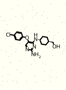 Nc1ncc(Oc2ccc(Cl)cc2)c(N[C@H]2CC[C@H](CO)CC2)n1